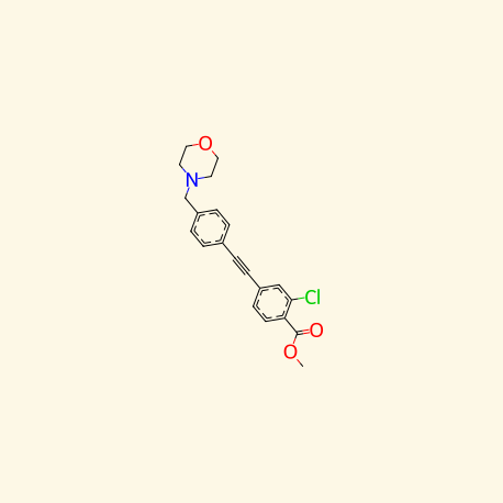 COC(=O)c1ccc(C#Cc2ccc(CN3CCOCC3)cc2)cc1Cl